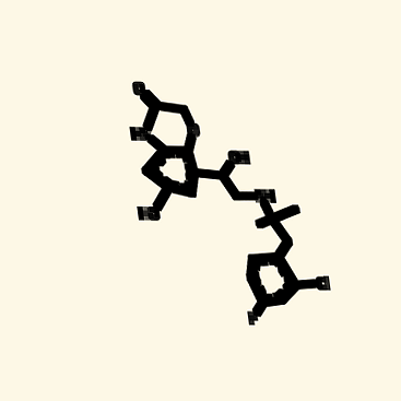 CC(C)(Cc1ccc(F)cc1Cl)NCC(O)c1cc(O)cc2c1OCC(=O)N2